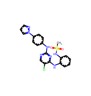 CS(=O)(=O)Nc1ccccc1Nc1nc(Nc2ccc(-n3cccn3)cc2)ncc1Cl